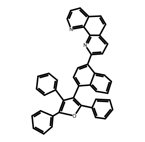 c1ccc(-c2oc(-c3ccccc3)c(-c3ccc(-c4ccc5ccc6cccnc6c5n4)c4ccccc34)c2-c2ccccc2)cc1